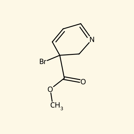 COC(=O)C1(Br)C=CC=NC1